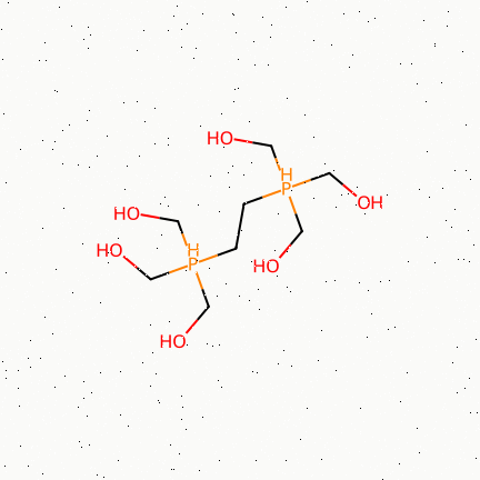 OC[PH](CO)(CO)CC[PH](CO)(CO)CO